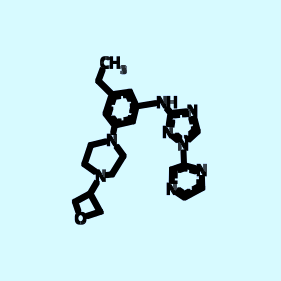 CCc1cc(Nc2ncn(-c3cnccn3)n2)cc(N2CCN(C3COC3)CC2)c1